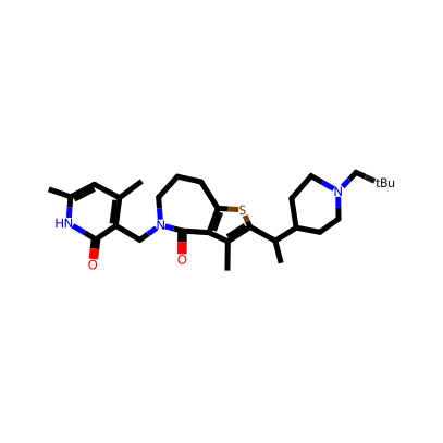 Cc1cc(C)c(CN2CCCc3sc(C(C)C4CCN(CC(C)(C)C)CC4)c(C)c3C2=O)c(=O)[nH]1